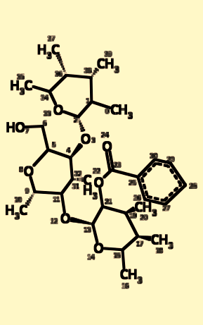 CC1[C@H](O[C@@H]2C(CO)O[C@@H](C)C(O[C@@H]3OC(C)[C@H](C)[C@H](C)C3OC(=O)c3ccccc3)[C@H]2C)OC(C)[C@H](C)[C@@H]1C